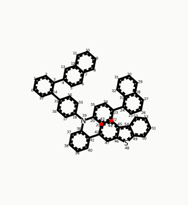 c1ccc(-c2ccc3ccccc3c2)c(-c2ccc(N(c3ccc(-c4cccc5ccccc45)cc3)c3ccccc3-c3ccc4c(c3)sc3ccccc34)cc2)c1